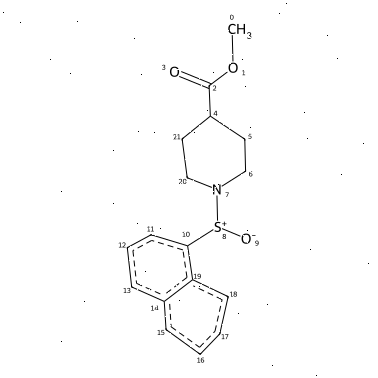 COC(=O)C1CCN([S+]([O-])c2cccc3ccccc23)CC1